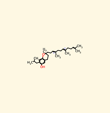 CC(C)=CCC/C(C)=C/CC/C(C)=C/CCC1(C)CCc2cc(O)c(CC(C)C)cc2O1